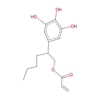 C=CC(=O)OCC(CCCC)c1cc(O)c(O)c(O)c1